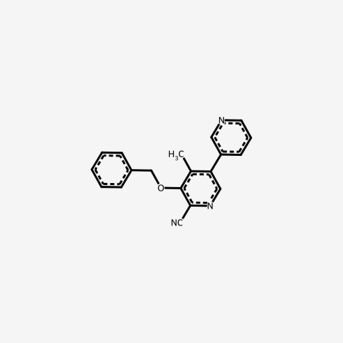 Cc1c(-c2cccnc2)cnc(C#N)c1OCc1ccccc1